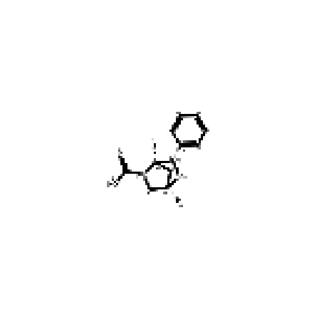 O=C(O)N1C[C@H]2C[C@@H]1[C@H](c1ccccc1)O2